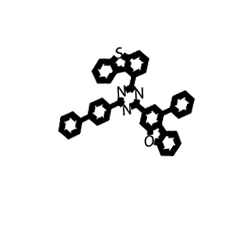 c1ccc(-c2ccc(-c3nc(-c4cc(-c5ccccc5)c5c(c4)oc4ccccc45)nc(-c4cccc5sc6ccccc6c45)n3)cc2)cc1